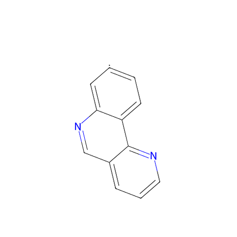 [c]1ccc2c(c1)ncc1cccnc12